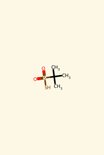 CC(C)(C)S(=O)(=O)S